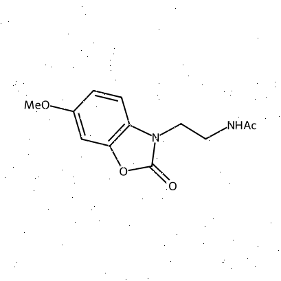 COc1ccc2c(c1)oc(=O)n2CCNC(C)=O